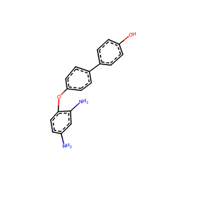 Nc1ccc(Oc2ccc(-c3ccc(O)cc3)cc2)c(N)c1